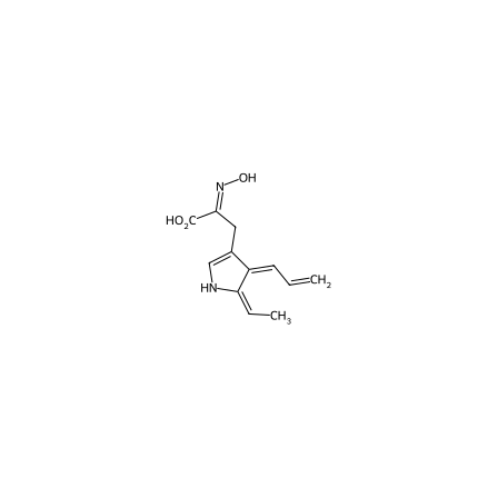 C=C/C=c1/c(C/C(=N\O)C(=O)O)c[nH]/c1=C/C